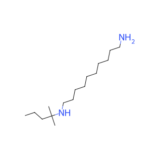 CCCC(C)(C)NCCCCCCCCCCN